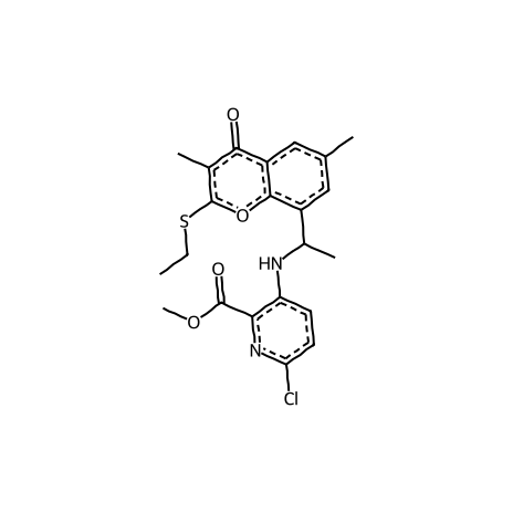 CCSc1oc2c(C(C)Nc3ccc(Cl)nc3C(=O)OC)cc(C)cc2c(=O)c1C